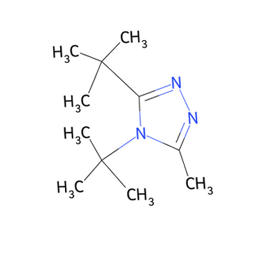 Cc1nnc(C(C)(C)C)n1C(C)(C)C